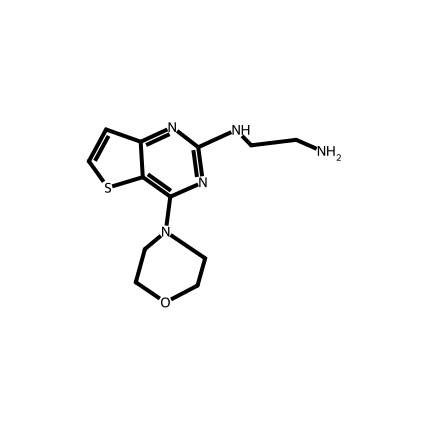 NCCNc1nc(N2CCOCC2)c2sccc2n1